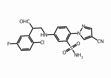 N#Cc1cnn(-c2ccc(NCC(C=O)c3cc(F)ccc3Cl)cc2S(N)(=O)=O)c1